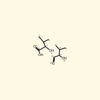 CC(C)C(O)C(=O)O.CC(C)C(O)C=O